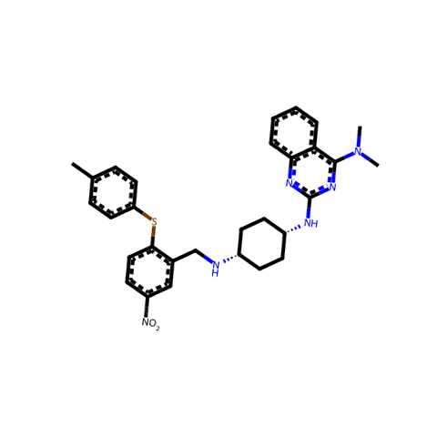 Cc1ccc(Sc2ccc([N+](=O)[O-])cc2CN[C@H]2CC[C@@H](Nc3nc(N(C)C)c4ccccc4n3)CC2)cc1